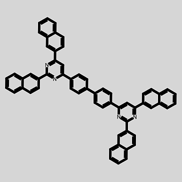 c1ccc2cc(-c3cc(-c4ccc(-c5ccc(-c6cc(-c7ccc8ccccc8c7)nc(-c7ccc8ccccc8c7)n6)cc5)cc4)nc(-c4ccc5ccccc5c4)n3)ccc2c1